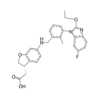 CCOc1nc2ccc(F)cc2n1-c1cccc(CNc2ccc3c(c2)OC[C@H]3CC(=O)O)c1C